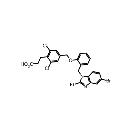 CCc1nc2cc(Br)ccc2n1Cc1ccccc1OCc1cc(Cl)c(CCC(=O)O)c(Cl)c1